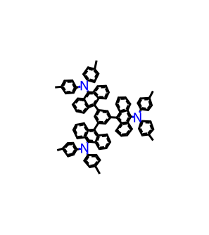 Cc1ccc(N(c2ccc(C)cc2)c2c3ccccc3c(-c3cc(-c4c5ccccc5c(N(c5ccc(C)cc5)c5ccc(C)cc5)c5ccccc45)cc(-c4c5ccccc5c(N(c5ccc(C)cc5)c5ccc(C)cc5)c5ccccc45)c3)c3ccccc23)cc1